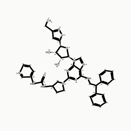 CCc1cc([C@H]2O[C@@H](n3cnc4c(NCC(c5ccccc5)c5ccccc5)nc(N5CCC(NC(=O)Nc6cccnc6)C5)nc43)[C@H](O)[C@@H]2O)on1